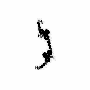 C=CCCCOc1ccc(C(C)(c2ccccc2)c2ccc(OCCCCCOc3ccc(C(C)(c4ccccc4)c4ccc(OCCCC=C)cc4)cc3)cc2)cc1